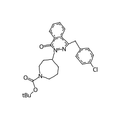 CC(C)(C)OC(=O)N1CCCC(n2nc(Cc3ccc(Cl)cc3)c3ccccc3c2=O)CC1